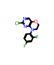 Fc1ccc(N2CCOc3cnc(Cl)nc32)c(F)c1